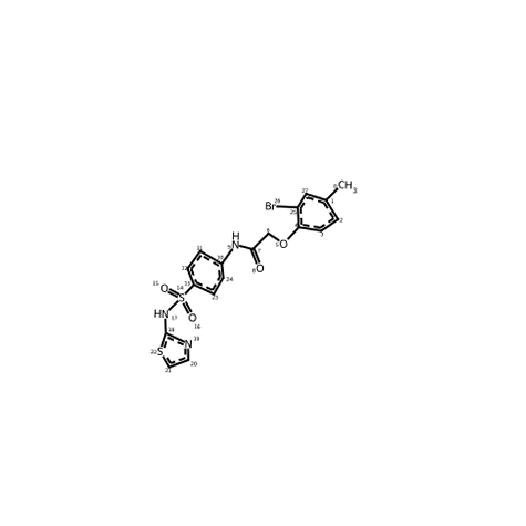 Cc1ccc(OCC(=O)Nc2ccc(S(=O)(=O)Nc3nccs3)cc2)c(Br)c1